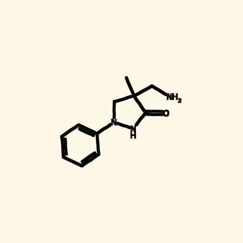 CC1(CN)CN(c2ccccc2)NC1=O